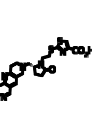 O=C(O)c1csc(SCCN2C(=O)CC[C@@H]2CN2CCc3nc4ccncc4cc3C2)n1